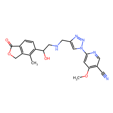 COc1cc(-n2cc(CNCC(O)c3ccc4c(c3C)COC4=O)nn2)ncc1C#N